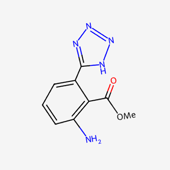 COC(=O)c1c(N)cccc1-c1nnn[nH]1